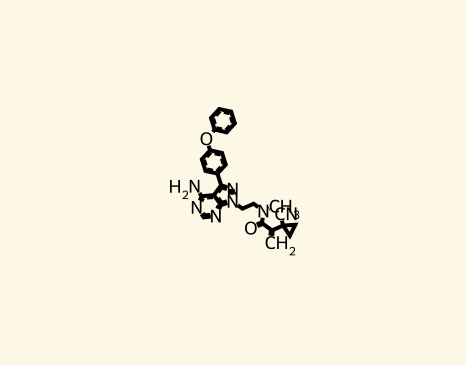 C=C(C(=O)N(C)CCn1nc(-c2ccc(Oc3ccccc3)cc2)c2c(N)ncnc21)C1(C#N)CC1